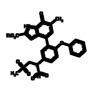 CCOC(=O)c1cc2c(-c3cc(N(CS(C)(=O)=O)[SH](=O)=O)ccc3Oc3ccccc3)cn(C)c(=O)c2[nH]1